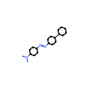 CN(C)c1ccc(/N=N/c2ccc(-c3ccccc3)cc2)cc1